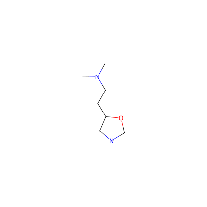 CN(C)CCC1C[N]CO1